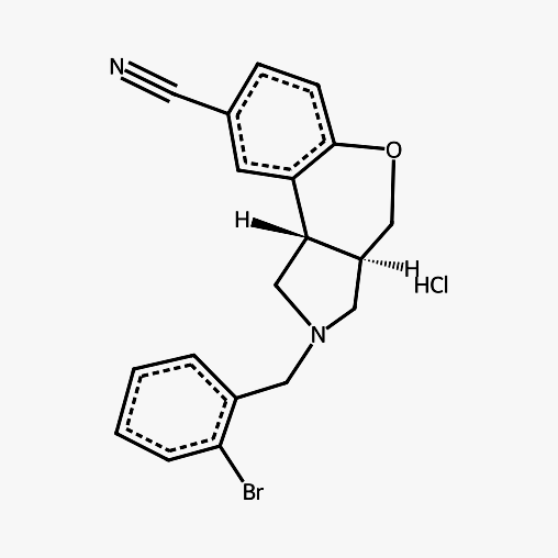 Cl.N#Cc1ccc2c(c1)[C@H]1CN(Cc3ccccc3Br)C[C@@H]1CO2